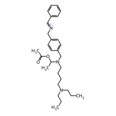 CCCN(CCC)CCCCN(Cc1ccc(C/N=C/c2ccccc2)cc1)C(C)OC(C)=O